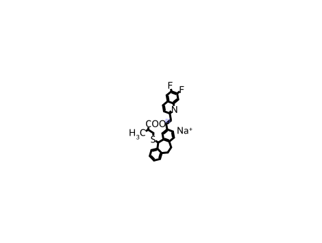 CC(CSC1c2ccccc2CCc2ccc(/C=C/c3ccc4cc(F)c(F)cc4n3)cc21)C(=O)[O-].[Na+]